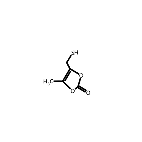 Cc1oc(=O)oc1CS